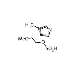 COCCOS(=O)(=O)O.Cn1ccnc1